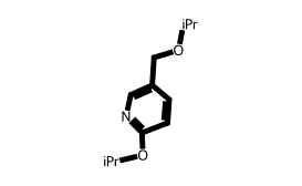 CC(C)OCc1ccc(OC(C)C)nc1